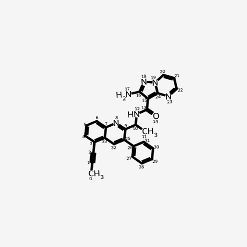 CC#Cc1cccc2nc(C(C)NC(=O)c3c(N)nn4cccnc34)c(-c3ccccc3)cc12